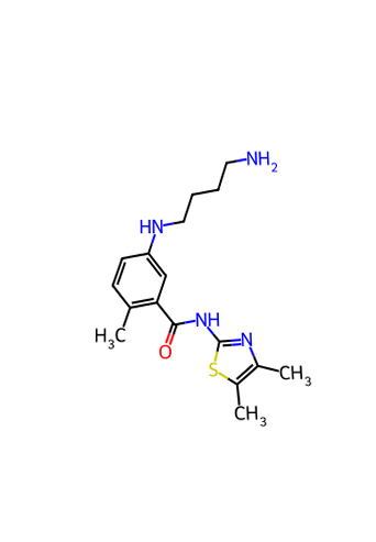 Cc1ccc(NCCCCN)cc1C(=O)Nc1nc(C)c(C)s1